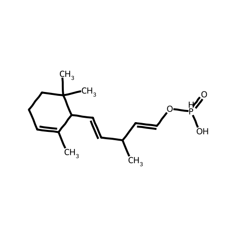 CC1=CCCC(C)(C)C1C=CC(C)C=CO[PH](=O)O